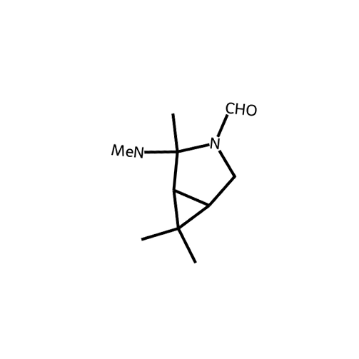 CNC1(C)C2C(CN1C=O)C2(C)C